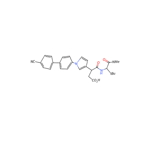 CNC(=O)C(NC(=O)C(CC(=O)O)c1ccn(-c2ccc(-c3ccc(C#N)cc3)cc2)c1)C(C)(C)C